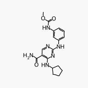 COC(=O)Nc1cccc(Nc2ncc(C(N)=O)c(NC3CCCC3)n2)c1